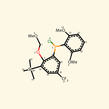 COCOc1c(P(Cl)c2c(OC)cccc2OC)cc(C(F)(F)F)cc1[Si](C)(C)C